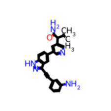 CC(C)C(C(N)=O)c1cncc(-c2ccc3[nH]nc(C#Cc4cccc(N)c4)c3c2)c1